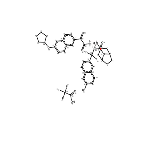 NC1CC2CCC(C1)N2C(=O)[C@@H](NC(=O)C(=O)c1ccc2cc(OC3CCCC3)ccc2c1)C(F)(F)c1ccc2cc(Br)ccc2c1.O=C(O)C(F)(F)F